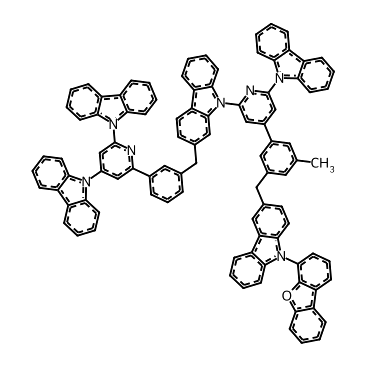 Cc1cc(Cc2ccc3c(c2)c2ccccc2n3-c2cccc3c2oc2ccccc23)cc(-c2cc(-n3c4ccccc4c4ccccc43)nc(-n3c4ccccc4c4ccc(Cc5cccc(-c6cc(-n7c8ccccc8c8ccccc87)cc(-n7c8ccccc8c8ccccc87)n6)c5)cc43)c2)c1